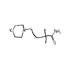 CC(C)([CH]CN1CCOCC1)C(N)=O